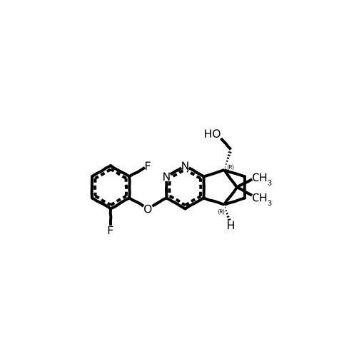 CC1(C)[C@H]2CC[C@]1(CO)c1nnc(Oc3c(F)cccc3F)cc12